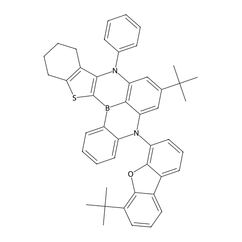 CC(C)(C)c1cc2c3c(c1)N(c1cccc4c1oc1c(C(C)(C)C)cccc14)c1ccccc1B3c1sc3c(c1N2c1ccccc1)CCCC3